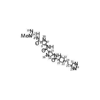 C/N=C(/CCNC(=O)c1cc(NC(=O)c2cc(NC(=O)c3ccc(/C=C/c4cncnc4)cc3)cn2C)cn1C)NC